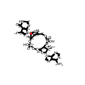 Nc1ncnc2c1ncn2[C@@H]1O[C@@H]2COP(=O)(O)O[C@@H]3[C@H](O)[C@@H](COP(=O)(O)O[C@H]2[C@H]1F)O[C@H]3n1cc(F)c2c(=O)[nH]cnc21